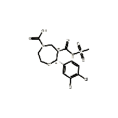 CS(=O)(=O)NC(=O)[C@@H]1CN(C(=O)O)CCO[C@H]1c1ccc(Cl)c(Cl)c1